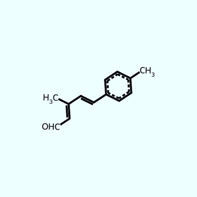 CC(C=Cc1ccc(C)cc1)=CC=O